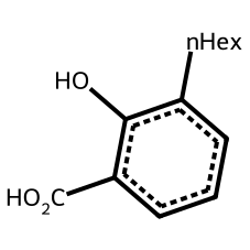 CCCCCCc1cccc(C(=O)O)c1O